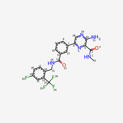 CNC(=O)c1nc(-c2cccc(C(=O)NCc3ccc(F)cc3C(F)(F)F)c2)cnc1N